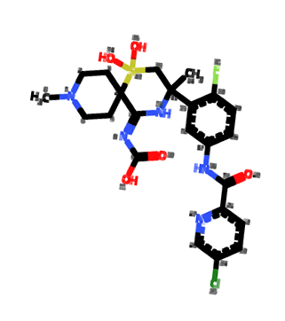 CN1CCC2(CC1)C(=NC(=O)O)NC(C)(c1cc(NC(=O)c3ccc(Cl)cn3)ccc1F)CS2(O)O